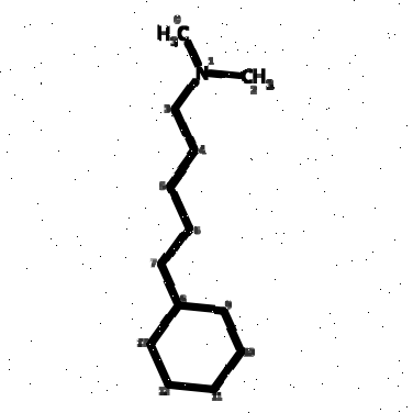 CN(C)CCCCCC1CCCCC1